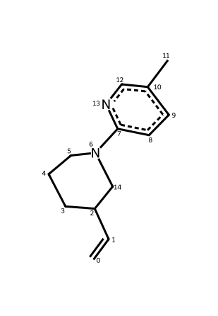 C=CC1CCCN(c2ccc(C)cn2)C1